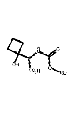 CC(C)(C)OC(=O)NC(C(=O)O)C1(O)CCC1